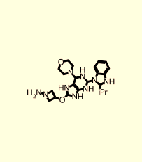 CC(C)C1Nc2ccccc2N1C1NC2=C(NC(OC3CN(N)C3)N2)C(N2CCOCC2)N1